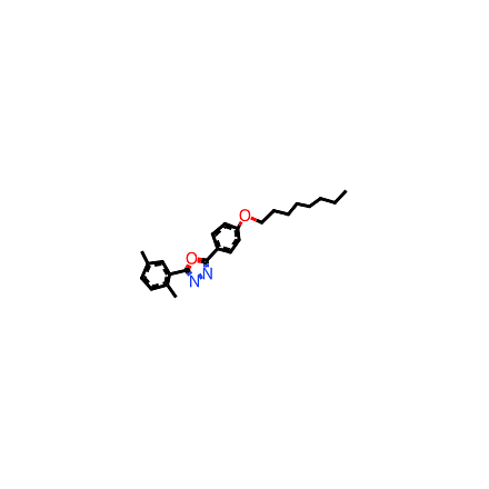 CCCCCCCCOc1ccc(-c2nnc(-c3cc(C)ccc3C)o2)cc1